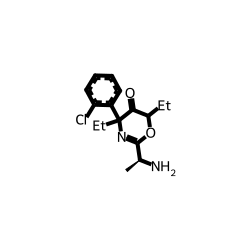 CCC1OC([C@H](C)N)=NC(CC)(c2ccccc2Cl)C1=O